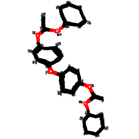 CC(Oc1ccc(Oc2ccc(OC(C)OC3CCCCC3)cc2)cc1)OC1CCCCC1